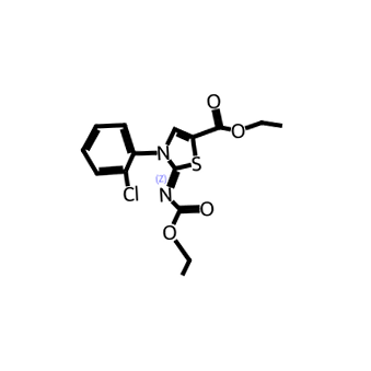 CCOC(=O)/N=c1\sc(C(=O)OCC)cn1-c1ccccc1Cl